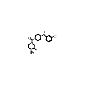 CC(C)N1CCN(C(=O)[C@H]2CC[C@H](Nc3cccc(Cl)c3)CC2)CC1C